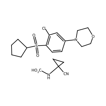 N#CC1(NC(=O)O)CC1.O=S(=O)(c1ccc(N2CCOCC2)cc1Cl)C1CCCC1